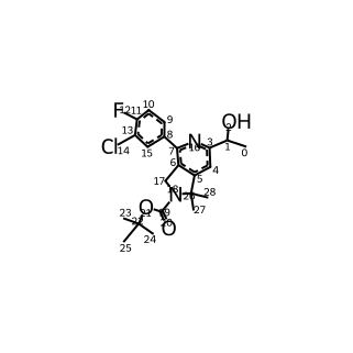 CC(O)c1cc2c(c(-c3ccc(F)c(Cl)c3)n1)CN(C(=O)OC(C)(C)C)C2(C)C